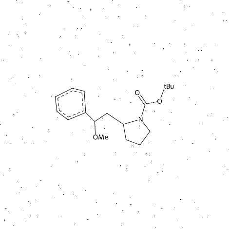 COC(CC1CCCN1C(=O)OC(C)(C)C)c1ccccc1